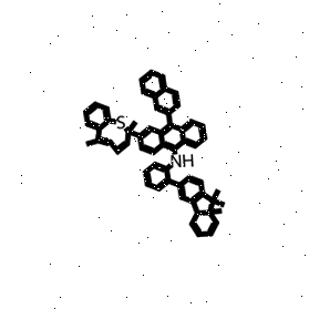 C/C1=C\C=C/C(C)(c2ccc3c(Nc4ccccc4-c4ccc5c(c4)C4C=CC=CC4(C)C5(C)C)c4ccccc4c(-c4ccc5ccccc5c4)c3c2)Sc2ccccc21